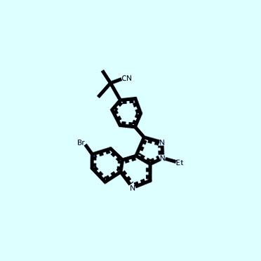 CCn1nc(-c2ccc(C(C)(C)C#N)cc2)c2c3cc(Br)ccc3ncc21